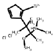 C[SiH](C)C(C)(O[SiH3])C(C)(C)C1=[C]([Ti+2])CC=C1.[Cl-].[Cl-]